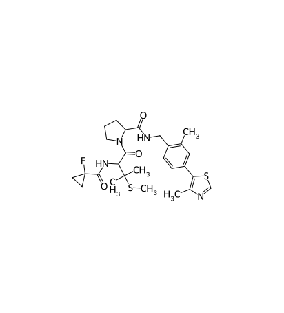 CSC(C)(C)C(NC(=O)C1(F)CC1)C(=O)N1CCCC1C(=O)NCc1ccc(-c2scnc2C)cc1C